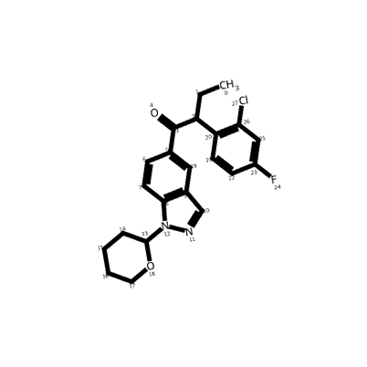 CCC(C(=O)c1ccc2c(cnn2C2CCCCO2)c1)c1ccc(F)cc1Cl